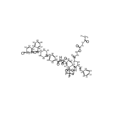 CC(C)C(=O)CCC(=O)OCCN(C)CCC(CSc1ccccc1)NC1C=CC(S(=O)(=O)NC(=O)c2ccc(N3CCC([C@@H](O)c4ccccc4-c4ccc(Cl)cc4)CC3)cc2)=CC1S(=O)(=O)C(F)(F)F